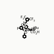 Cc1cc(F)ccc1[C@H]1C[C@@](CC=C(O[Si](C)(C)C(C)(C)C)C(=O)O)(NC(=O)OCc2ccccc2)CCN1C(=O)N(C)[C@@H](C)c1cc(C(F)(F)F)cc(C(F)(F)F)c1